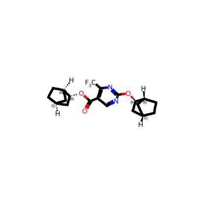 O=C(O[C@@H]1C[C@H]2CC[C@@H]1C2)c1cnc(O[C@@H]2C[C@H]3CC[C@@H]2C3)nc1C(F)(F)F